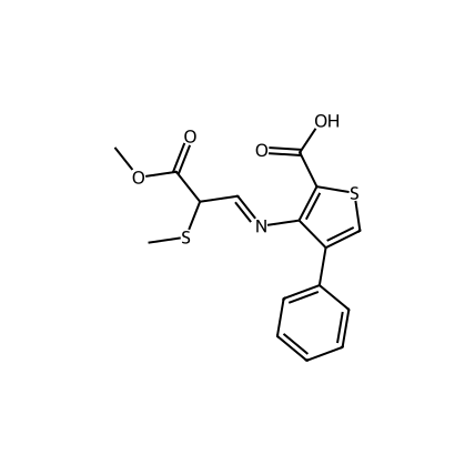 COC(=O)C(C=Nc1c(-c2ccccc2)csc1C(=O)O)SC